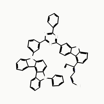 C=C/C(=C\C=C/C)c1cccc2oc3cc(-c4nc(-c5ccccc5)nc(-c5cccc(-n6c7ccccc7c7c8c9ccccc9n(-c9ccccc9)c8ccc76)c5)n4)ccc3c12